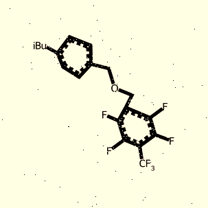 CCC(C)c1ccc(COCc2c(F)c(F)c(C(F)(F)F)c(F)c2F)cc1